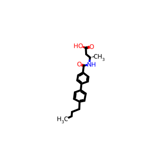 CCCCc1ccc(-c2ccc(C(=O)N[C@@H](C)CC(=O)O)cc2)cc1